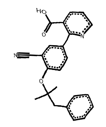 CC(C)(Cc1ccccc1)Oc1ccc(-c2ncccc2C(=O)O)cc1C#N